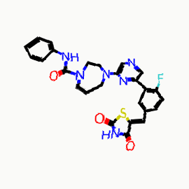 O=C1NC(=O)C(=Cc2ccc(F)c(-c3cncc(N4CCCN(C(=O)Nc5ccccc5)CC4)n3)c2)S1